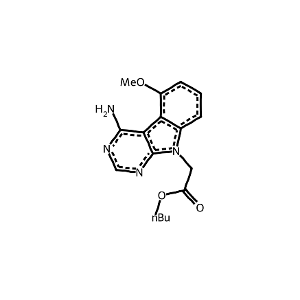 CCCCOC(=O)Cn1c2cccc(OC)c2c2c(N)ncnc21